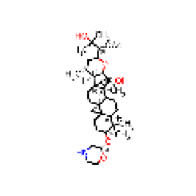 CC(=O)O[C@@H](C1C[C@@H](C)[C@H]2C(O1)[C@H](O)[C@@]1(C)C3CC[C@H]4C(C)(C)[C@@H](O[C@H]5CNCCO5)CCC45C[C@@]35CC[C@]21C)C(C)(C)O